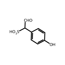 O=[C]C(c1ccc(O)cc1)S(=O)(=O)O